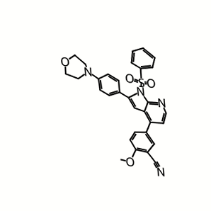 COc1ccc(-c2ccnc3c2cc(-c2ccc(N4CCOCC4)cc2)n3S(=O)(=O)c2ccccc2)cc1C#N